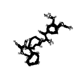 COc1ccc(C(=O)C(C)N2CCC3(CC2)NC(=O)Oc2ccccc23)cc1OC